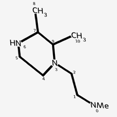 CNCCN1CCNC(C)C1C